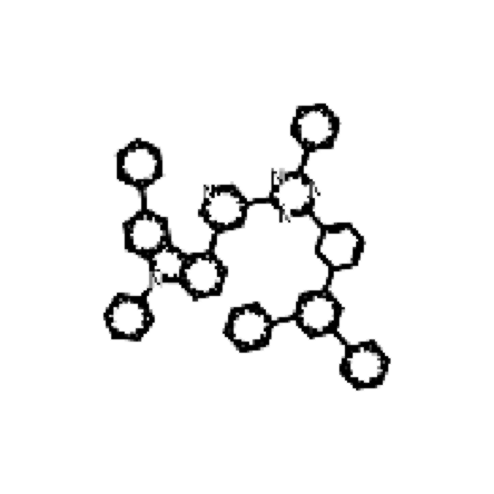 C1=CC(c2cc(-c3ccccc3)cc(-c3ccccc3)c2)CC(c2nc(-c3ccccc3)nc(-c3cncc(-c4cccc5c4c4cc(-c6ccccc6)ccc4n5-c4ccccc4)c3)n2)=C1